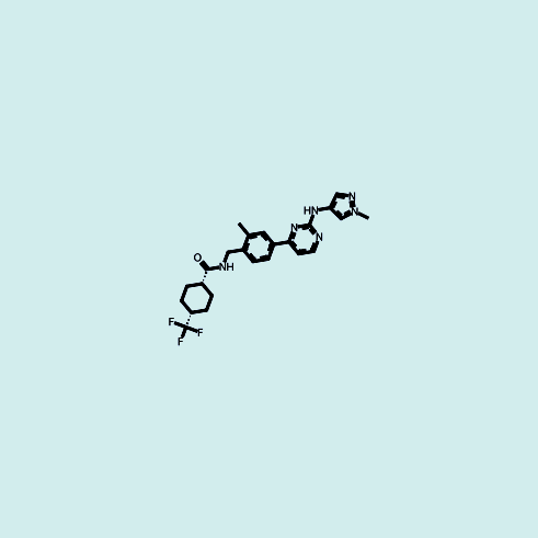 Cc1cc(-c2ccnc(Nc3cnn(C)c3)n2)ccc1CNC(=O)[C@H]1CC[C@@H](C(F)(F)F)CC1